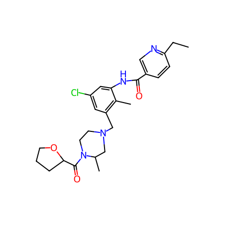 CCc1ccc(C(=O)Nc2cc(Cl)cc(CN3CCN(C(=O)C4CCCO4)C(C)C3)c2C)cn1